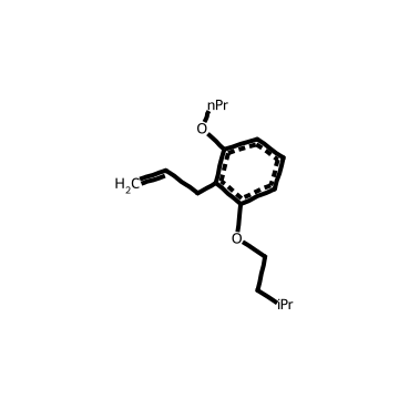 C=CCc1c(OCCC)cccc1OCCC(C)C